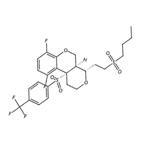 CCCCS(=O)(=O)CC[C@@H]1OCC[C@@]2(S(=O)(=O)c3ccc(C(F)(F)F)cc3)c3c(F)ccc(F)c3OC[C@@H]12